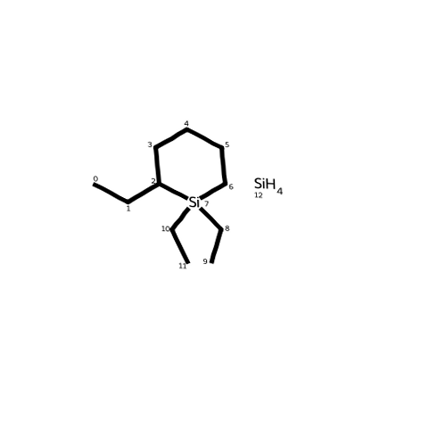 CCC1CCCC[Si]1(CC)CC.[SiH4]